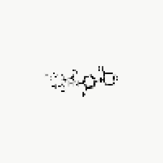 CCN[C@H](CN)C(=O)Nc1ccc(N2CCOCC2=O)cc1F